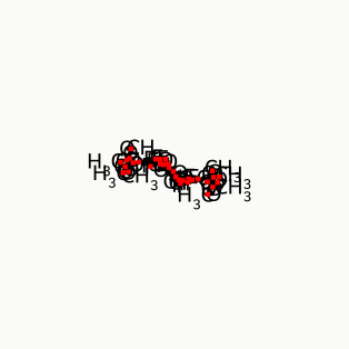 CC(=O)OCC1O[C@@H](OCCCC(F)(F)C(F)(F)OC(F)(F)C(F)(F)S(=O)(=O)n2c(=O)c3cc4c(=O)n(S(=O)(=O)C(F)(F)C(F)(F)OC(F)(F)C(F)(F)CCCO[C@@H]5OC(COC(C)=O)[C@@H](OC(C)=O)[C@H](OC(C)=O)C5OC(C)=O)c(=O)c4cc3c2=O)C(OC(C)=O)[C@@H](OC(C)=O)[C@@H]1OC(C)=O